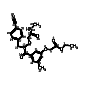 CCOC(=O)COc1cc(C)cc(C(=O)N(Cc2ccc(C#N)cc2)OCC(=O)NC)c1